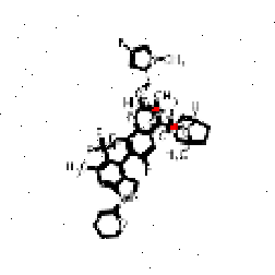 Cc1cc2c(cnn2C2CCCCO2)c(-c2c(F)cc3c(N4C[C@H]5CC[C@@](C)(C4)N5C(=O)OC(C)(C)C)nc(OC[C@@H]4C[C@@H](F)CN4C)nc3c2F)c1C(F)(F)F